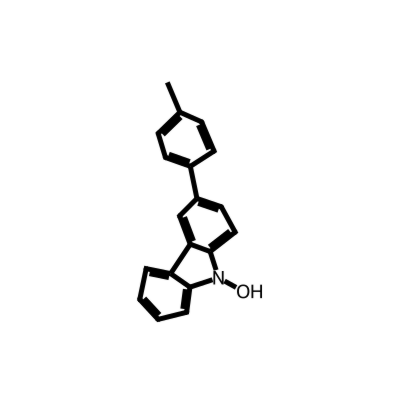 Cc1ccc(-c2ccc3c(c2)c2ccccc2n3O)cc1